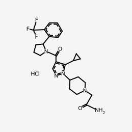 Cl.NC(=O)CN1CCC(n2ncc(C(=O)N3CCCC3c3ccccc3C(F)(F)F)c2C2CC2)CC1